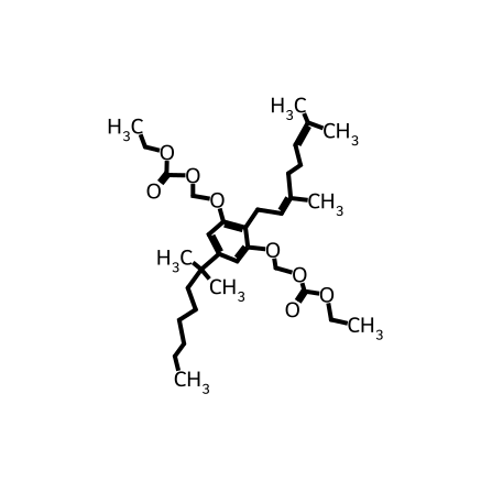 CCCCCCC(C)(C)c1cc(OCOC(=O)OCC)c(CC=C(C)CCC=C(C)C)c(OCOC(=O)OCC)c1